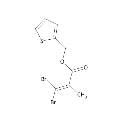 CC(C(=O)OCc1cccs1)=C(Br)Br